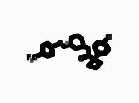 O=C(CN1CCC[C@@H](COc2ccc(C(F)(F)F)cc2)C1)C1(c2ccc(Cl)cc2)CCC1